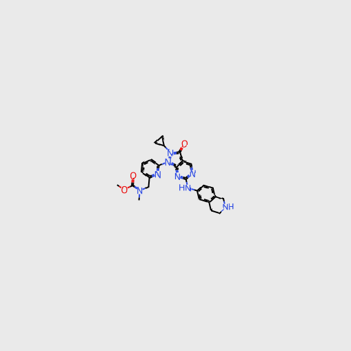 COC(=O)N(C)Cc1cccc(-n2c3nc(Nc4ccc5c(c4)CCNC5)ncc3c(=O)n2C2CC2)n1